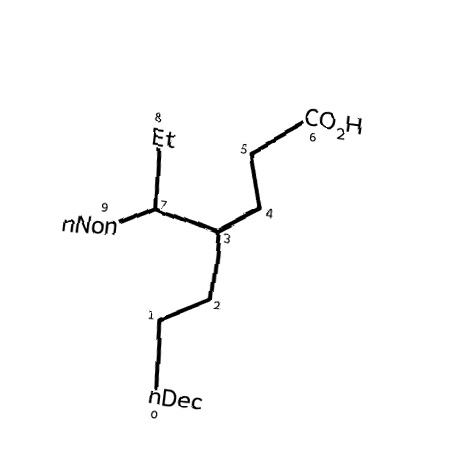 CCCCCCCCCCCCC(CCC(=O)O)C(CC)CCCCCCCCC